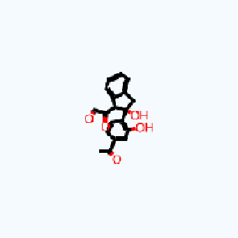 CC(=O)c1ccc(C2(O)Cc3ccccc3C2C(=O)C=O)c(O)c1